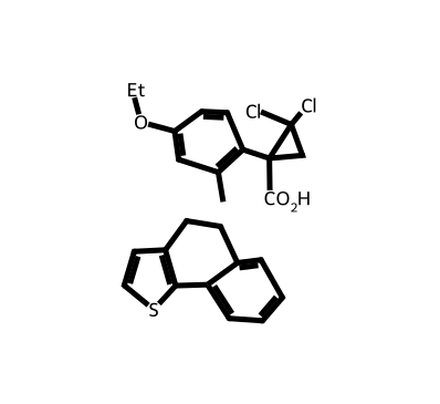 CCOc1ccc(C2(C(=O)O)CC2(Cl)Cl)c(C)c1.c1ccc2c(c1)CCc1ccsc1-2